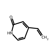 C=Cc1cc[nH]c(=O)c1